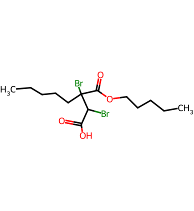 CCCCCOC(=O)C(Br)(CCCCC)C(Br)C(=O)O